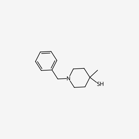 CC1(S)CCN(Cc2ccccc2)CC1